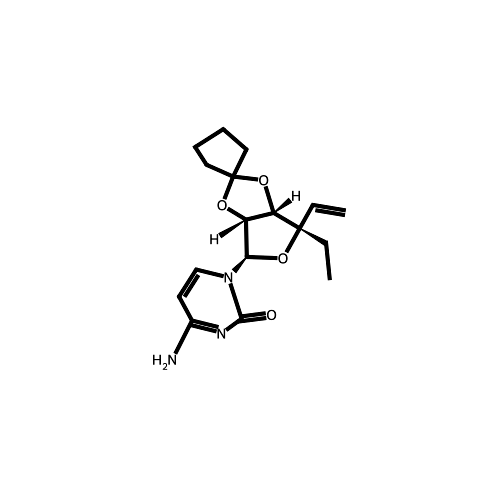 C=C[C@]1(CC)O[C@@H](n2ccc(N)nc2=O)[C@@H]2OC3(CCCC3)O[C@@H]21